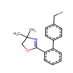 CC1(C)COC(c2ccccc2-c2ccc(CI)cc2)=N1